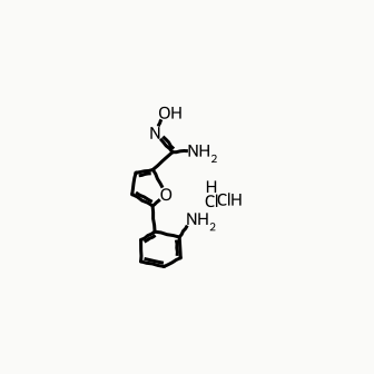 Cl.Cl.NC(=NO)c1ccc(-c2ccccc2N)o1